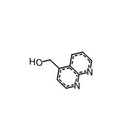 OCc1ccnc2ncccc12